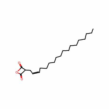 CCCCCCCCCCCCCCC/C=C\CC1C(=O)OC1=O